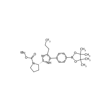 CC(C)(C)OC(=O)N1CCC[C@H]1c1nc(CCC(F)(F)F)c(-c2ccc(B3OC(C)(C)C(C)(C)O3)cc2)[nH]1